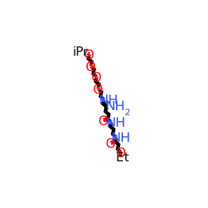 CCOCCC(=O)NCCCNC(=O)CC/C(N)=C/NCCOCCOCCOCCOC(C)C